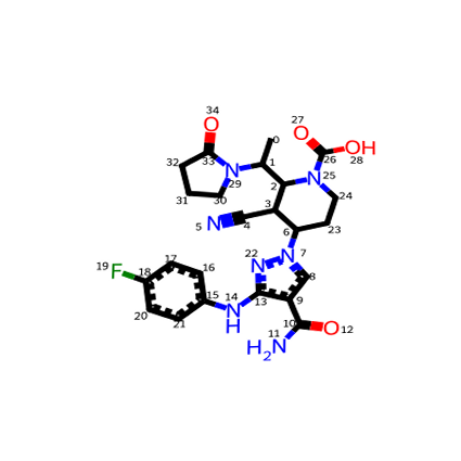 CC(C1C(C#N)C(n2cc(C(N)=O)c(Nc3ccc(F)cc3)n2)CCN1C(=O)O)N1CCCC1=O